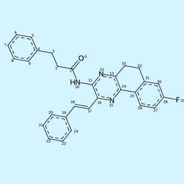 O=C(CCc1ccccc1)Nc1nc2c(nc1/C=C/c1ccccc1)-c1ccc(F)cc1CC2